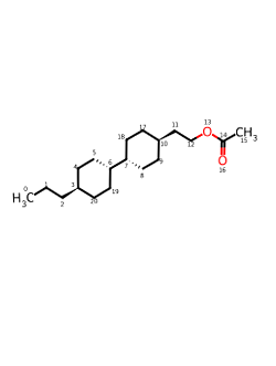 CCC[C@H]1CC[C@H]([C@H]2CC[C@H](CCOC(C)=O)CC2)CC1